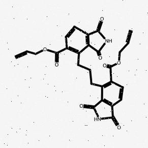 C=CCOC(=O)c1ccc2c(c1CCCc1c(C(=O)OCC=C)ccc3c1C(=O)NC3=O)C(=O)NC2=O